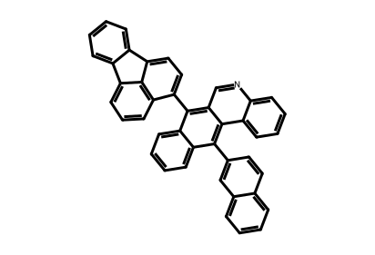 c1ccc2c(c1)-c1cccc3c(-c4c5ccccc5c(-c5ccc6ccccc6c5)c5c4cnc4ccccc45)ccc-2c13